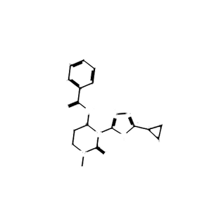 CN1CCC(OC(=O)c2ccccc2)N(c2nnc(C3CC3)s2)C1=O